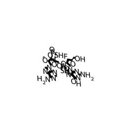 CO[C@H]1[C@@H](n2cnc3c(N)ncnc32)O[C@](C)(COP(=O)(S)O[C@@H]2[C@@H](F)[C@@H](CO)O[C@H]2n2nnc3c(=O)[nH]c(N)nc32)[C@H]1O[PH](=O)S